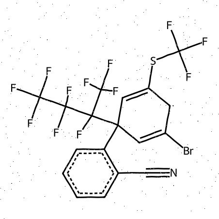 N#Cc1ccccc1C1(C(F)(C(F)(F)F)C(F)(F)C(F)(F)F)C=C(Br)[CH]C(SC(F)(F)F)=C1